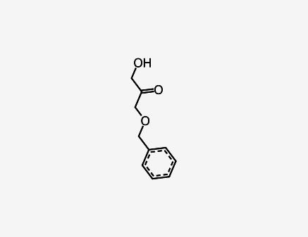 O=C(CO)COCc1ccccc1